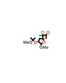 CO[C@@H]1O[C@@]2(CC(=O)[C@@]2(C)Cl)C[C@H]1OC(C)(C)OC